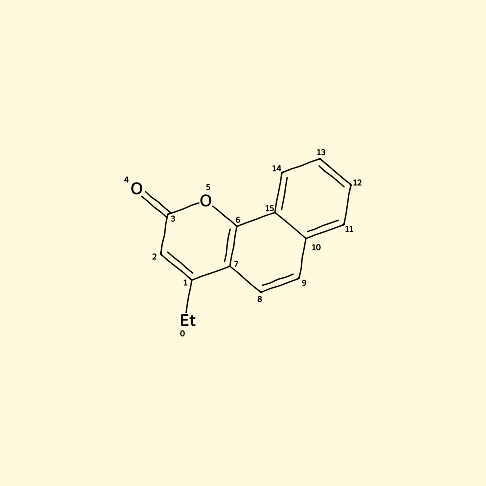 CCc1cc(=O)oc2c1ccc1ccccc12